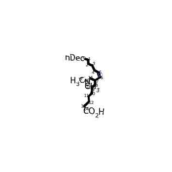 CCCCCCCCCCCCCC/C=C\C(CCCCCCC(=O)O)CN(C)C